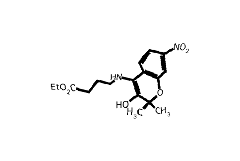 CCOC(=O)CCCNC1=C(O)C(C)(C)Oc2cc([N+](=O)[O-])ccc21